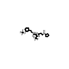 O=C(NCCc1cccc(OC(F)(F)F)c1)c1sc(CCNC2CCCC2)nc1C(F)(F)F